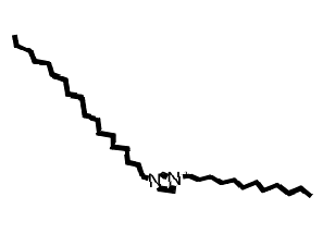 CCCCCCCCCCCCCCCCCCn1cc[n+](CCCCCCCCCCCC)c1